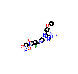 Nc1ncnc2c1c(-c1ccc(Oc3ccccc3)cc1)nn2C1CCN(Cc2ccc3c(c2F)CN(C2CCC(=O)NC2=O)C3=O)CC1